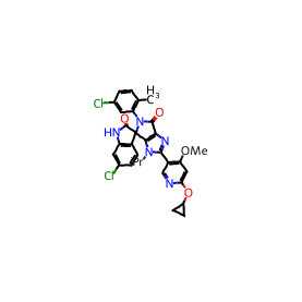 COc1cc(OC2CC2)ncc1-c1nc2c(n1C(C)C)C1(C(=O)Nc3cc(Cl)ccc31)N(c1cc(Cl)ccc1C)C2=O